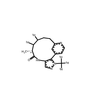 [2H]C1CCc2cc(ccn2)-c2c(cnn2C([2H])([2H])[2H])NC(=O)[C@H](C)C1[2H]